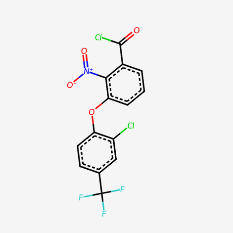 O=C(Cl)c1cccc(Oc2ccc(C(F)(F)F)cc2Cl)c1[N+](=O)[O-]